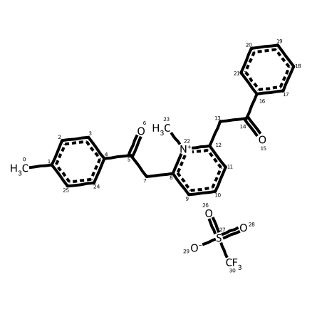 Cc1ccc(C(=O)Cc2cccc(CC(=O)c3ccccc3)[n+]2C)cc1.O=S(=O)([O-])C(F)(F)F